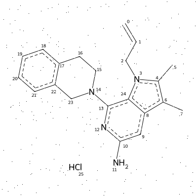 C=CCn1c(C)c(C)c2cc(N)nc(N3CCc4ccccc4C3)c21.Cl